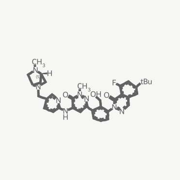 CN1CC2C[C@H]1CN2Cc1ccc(Nc2cc(-c3cccc(-n4ncc5cc(C(C)(C)C)cc(F)c5c4=O)c3CO)nn(C)c2=O)nc1